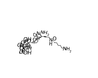 NCCCCCC(=O)NCC#Cc1cn([C@H]2CC[C@@H](COP(=O)(O)OP(=O)(O)OP(=O)(O)O)O2)c(=O)nc1N